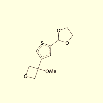 COC1(c2csc(C3OCCO3)c2)COC1